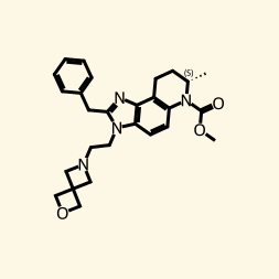 COC(=O)N1c2ccc3c(nc(Cc4ccccc4)n3CCN3CC4(COC4)C3)c2CC[C@@H]1C